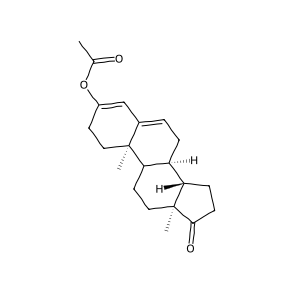 CC(=O)OC1=CC2=CC[C@@H]3C(CC[C@]4(C)C(=O)CC[C@@H]34)[C@@]2(C)CC1